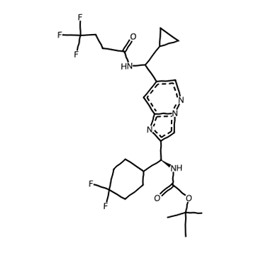 CC(C)(C)OC(=O)N[C@H](c1cn2ncc(C(NC(=O)CCC(F)(F)F)C3CC3)cc2n1)C1CCC(F)(F)CC1